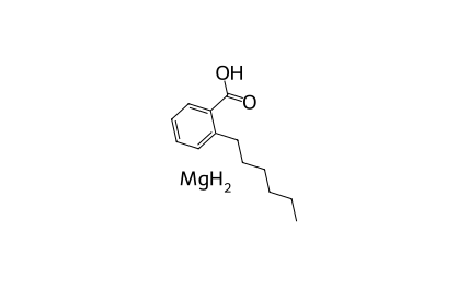 CCCCCCc1ccccc1C(=O)O.[MgH2]